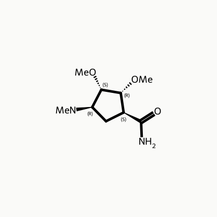 CN[C@@H]1C[C@H](C(N)=O)[C@@H](OC)[C@H]1OC